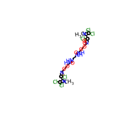 CN1Cc2c(Cl)cc(Cl)cc2C(c2ccc3c(c2Cl)SN(CCOCCOCCNC(=O)NCCCCNC(=O)NCCOCCOCCN2Cc4ccc(C5CN(C)Cc6c(Cl)cc(Cl)cc65)c(Cl)c4S2(=O)=O)C3)C1